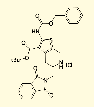 CC(C)(C)OC(=O)c1c(NC(=O)OCc2ccccc2)sc2c1CC(CN1C(=O)c3ccccc3C1=O)NC2.Cl